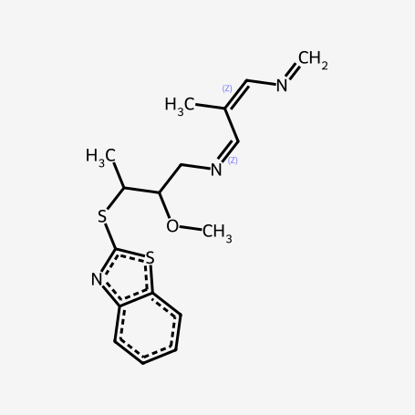 C=N/C=C(C)\C=N/CC(OC)C(C)Sc1nc2ccccc2s1